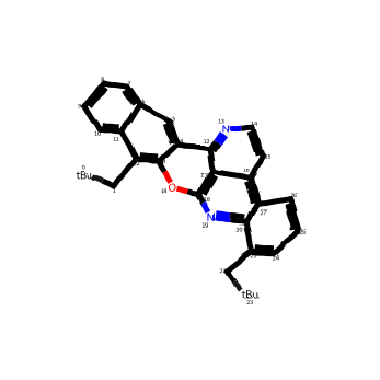 CC(C)(C)Cc1c2c(cc3ccccc13)-c1nccc3c1c(nc1c(CC(C)(C)C)cccc13)O2